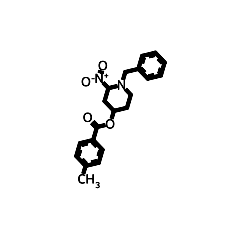 Cc1ccc(C(=O)OC2CCN(Cc3ccccc3)C([N+](=O)[O-])C2)cc1